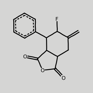 C=C1CC2C(=O)OC(=O)C2C(c2ccccc2)C1F